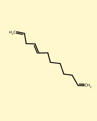 C=CC/C=C/CCCCCC=C